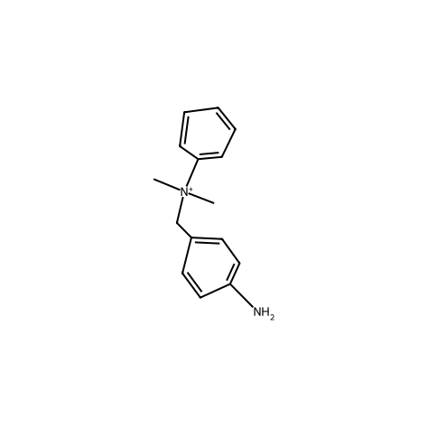 C[N+](C)(Cc1ccc(N)cc1)c1ccccc1